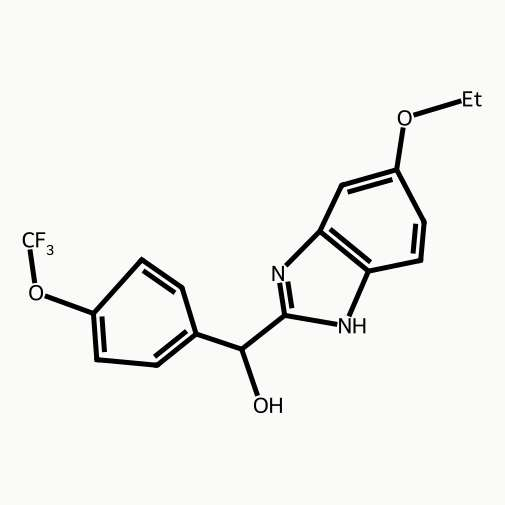 CCOc1ccc2[nH]c(C(O)c3ccc(OC(F)(F)F)cc3)nc2c1